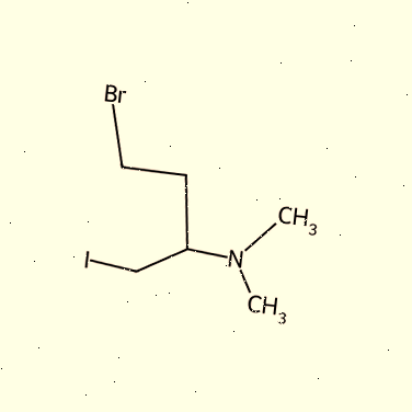 CN(C)C(CI)CCBr